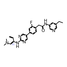 C=C/C(=C\N(C)C)Nc1ncc(-c2ccc(CC(=O)Nc3cncc(CC)c3)c(F)c2)cn1